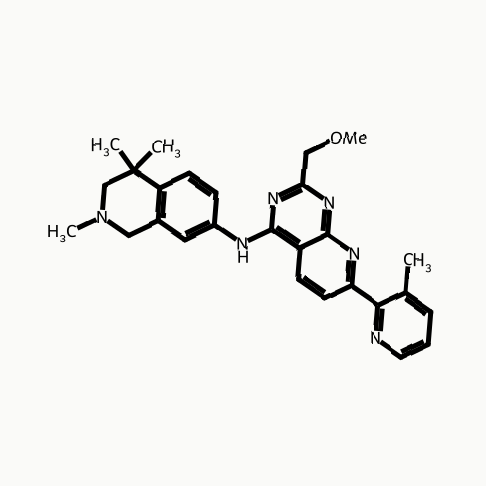 COCc1nc(Nc2ccc3c(c2)CN(C)CC3(C)C)c2ccc(-c3ncccc3C)nc2n1